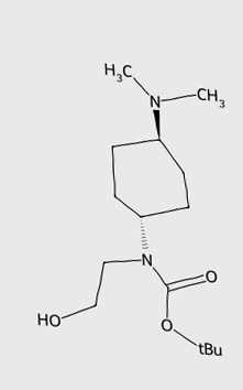 CN(C)[C@H]1CC[C@H](N(CCO)C(=O)OC(C)(C)C)CC1